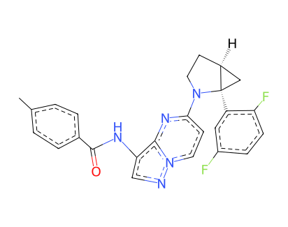 Cc1ccc(C(=O)Nc2cnn3ccc(N4CC[C@H]5C[C@]54c4cc(F)ccc4F)nc23)cc1